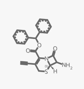 C#CC1=C(C(=O)OC(c2ccccc2)c2ccccc2)N2C(=O)C(N)[C@@H]2SC1